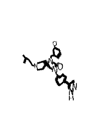 COc1cccc(CN2C(=O)N(c3ccc(-c4cn[nH]c4)cc3)CC23CCN(CCC(C)C)CC3)c1